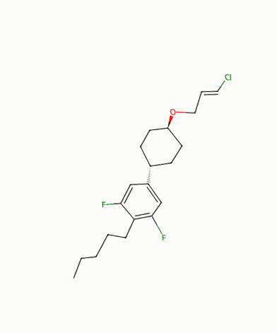 CCCCCc1c(F)cc([C@H]2CC[C@H](OC/C=C/Cl)CC2)cc1F